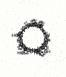 CCCC[C@H]1C(=O)N(C)CC(=O)N[C@@H](CC(=O)O)C(=O)N[C@@H](C(C)C)C(=O)N(C)[C@@H](Cc2ccccc2)C(=O)N[C@@H](Cc2ccc(O)cc2)C(=O)N2CC[C@@H]2C(=O)N[C@@H](Cc2c[nH]c3ccccc23)C(=O)N[C@@H](Cc2ccc(O)cc2)C(=O)N[C@@H](CC(C)C)C(=O)N[C@H](C)CSCC(=O)N[C@@H](Cc2ccccc2)C(=O)N(C)[C@@H](Cc2ccccc2)C(=O)N1C